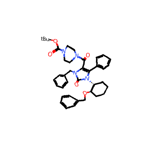 CC(C)(C)OC(=O)N1CCN(C(=O)c2c(-c3ccccc3)n([C@@H]3CCCC[C@H]3OCc3ccccc3)c(=O)n2Cc2ccccc2)CC1